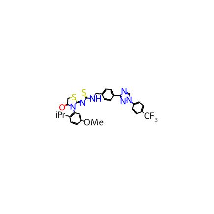 COc1ccc(C(C)C)c(N2C(=O)CS/C2=N\C(=S)NCc2ccc(-c3ncn(-c4ccc(C(F)(F)F)cc4)n3)cc2)c1